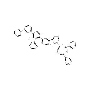 C1=C(c2cccc3c2sc2ccc(-c4ccc(-c5cccc(-c6ccccc6)c5)c5oc6ccccc6c45)cc23)/N=C(c2ccccc2)\N=C(\c2ccccc2)CC\1